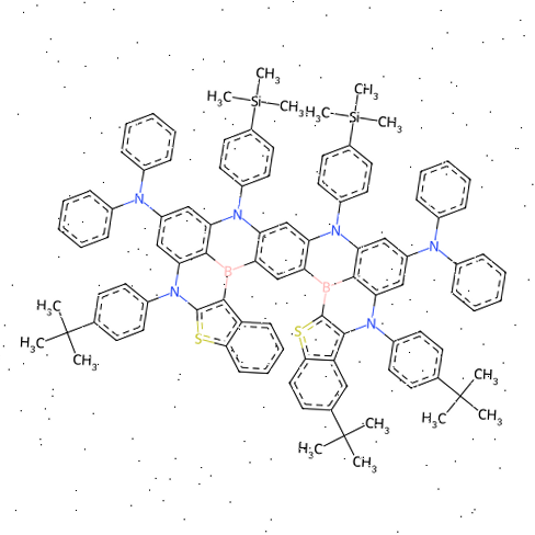 CC(C)(C)c1ccc(N2c3cc(N(c4ccccc4)c4ccccc4)cc4c3B(c3cc5c(cc3N4c3ccc([Si](C)(C)C)cc3)N(c3ccc([Si](C)(C)C)cc3)c3cc(N(c4ccccc4)c4ccccc4)cc4c3B5c3sc5ccc(C(C)(C)C)cc5c3N4c3ccc(C(C)(C)C)cc3)c3c2sc2ccccc32)cc1